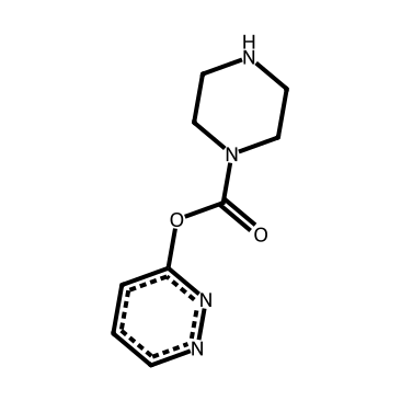 O=C(Oc1cccnn1)N1CCNCC1